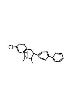 CNC(C)C(Cc1ccc(Cl)cc1)c1ccc(-c2ccccc2)cc1